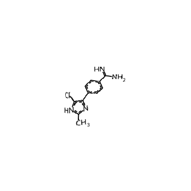 Cc1nc(-c2ccc(C(=N)N)cc2)c(Cl)[nH]1